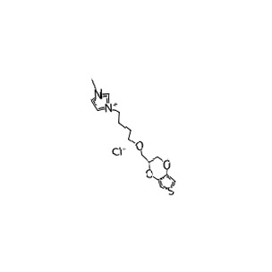 Cn1cc[n+](CCCCOCC2COc3cscc3O2)c1.[Cl-]